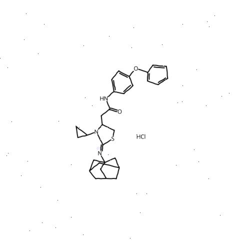 Cl.O=C(CC1CS/C(=N\C23CC4CC(CC(C4)C2)C3)N1C1CC1)Nc1ccc(Oc2ccccc2)cc1